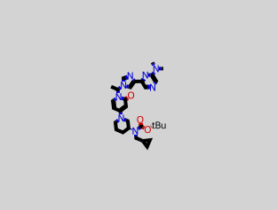 CC(n1cnc(-c2cncc(N(C)C)n2)c1)n1ccc(N2CCC[C@@H](N(CC3CC3)C(=O)OC(C)(C)C)C2)cc1=O